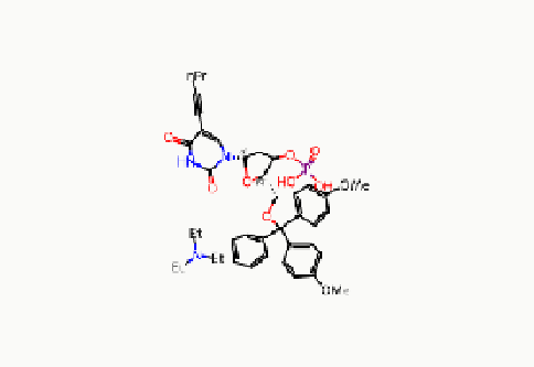 CCCC#Cc1cn([C@@H]2CC(OP(=O)(O)O)[C@H](COC(c3ccccc3)(c3ccc(OC)cc3)c3ccc(OC)cc3)O2)c(=O)[nH]c1=O.CCN(CC)CC